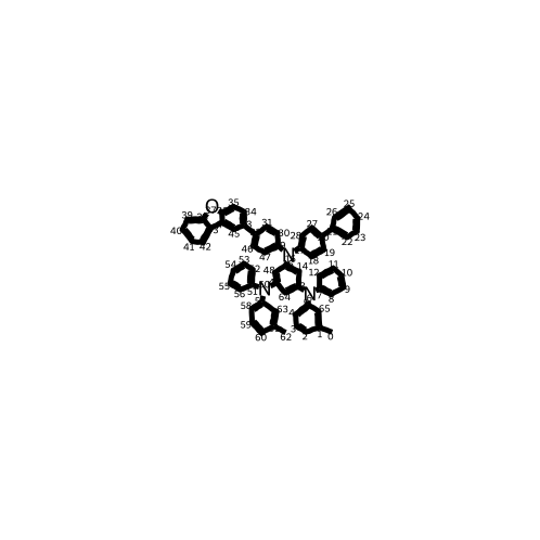 Cc1cccc(N(c2ccccc2)c2cc(N(c3ccc(-c4ccccc4)cc3)c3ccc(-c4ccc5oc6ccccc6c5c4)cc3)cc(N(c3ccccc3)c3cccc(C)c3)c2)c1